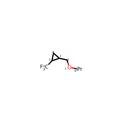 CC(C)OCC1CC1C(F)(F)F